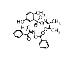 CC(=NOC(=O)c1ccccc1)C(=O)c1ccccc1.CC(=O)C(C)=NOS(=O)(=O)c1cc(O)ccc1C